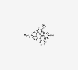 CCc1cccc2c(C(c3ccccc3OCC(=O)O)c3coc4c(CC)cccc34)coc12